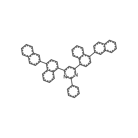 c1ccc(-c2nc(-c3ccc(-c4ccc5ccccc5c4)c4ccccc34)cc(-c3ccc(-c4ccc5ccccc5c4)c4ccccc34)n2)cc1